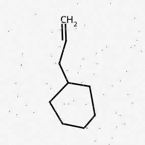 C=CCC1CC[CH]CC1